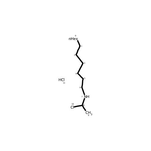 CCCCCCCCCCCCNC(C)Cl.Cl